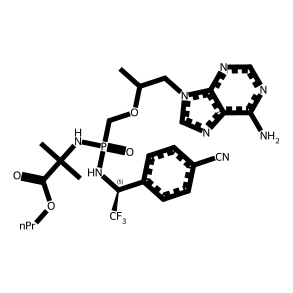 CCCOC(=O)C(C)(C)NP(=O)(COC(C)Cn1cnc2c(N)ncnc21)N[C@@H](c1ccc(C#N)cc1)C(F)(F)F